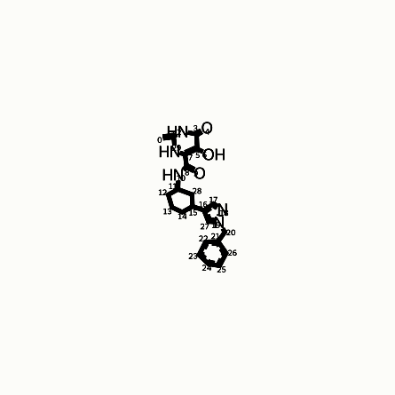 C=C1NC(=O)C(O)=C(C(=O)NC2CCCC(c3cnn(Cc4ccccc4)c3)C2)N1